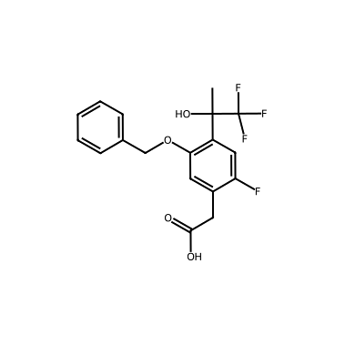 CC(O)(c1cc(F)c(CC(=O)O)cc1OCc1ccccc1)C(F)(F)F